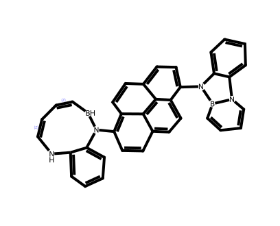 B1/C=C\C=C/Nc2ccccc2N1c1ccc2ccc3c(N4B5C=CC=CN5c5ccccc54)ccc4ccc1c2c43